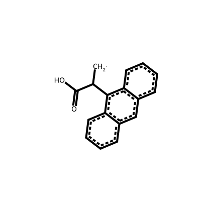 [CH2]C(C(=O)O)c1c2ccccc2cc2ccccc12